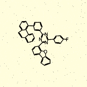 Fc1ccc(-c2nc(-c3cccc(-c4cccc5ccc6ccccc6c45)c3)nc(-c3cccc4c3oc3ccccc34)n2)cc1